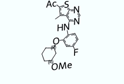 CO[C@@H]1CCC[C@@H](Oc2cc(F)ccc2Nc2ncnc3sc(C(C)=O)c(C)c23)C1